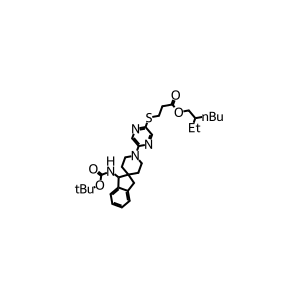 CCCCC(CC)COC(=O)CCSc1cnc(N2CCC3(CC2)Cc2ccccc2C3NC(=O)OC(C)(C)C)cn1